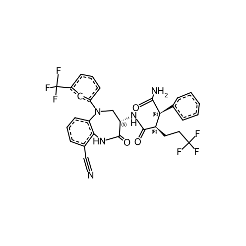 N#Cc1cccc2c1NC(=O)[C@@H](NC(=O)[C@H](CCC(F)(F)F)[C@@H](C(N)=O)c1ccccc1)CN2c1cccc(C(F)(F)F)c1